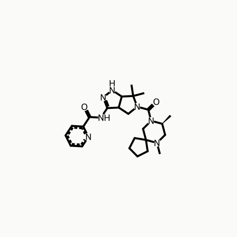 C[C@H]1CN(C)C2(CCCC2)CN1C(=O)N1CC2C(NC(=O)c3ccccn3)=NNC2C1(C)C